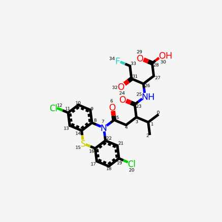 CC(C)C(CC(=O)N1c2ccc(Cl)cc2Sc2ccc(Cl)cc21)C(=O)NC(CC(=O)O)C(=O)CF